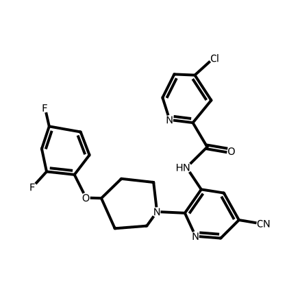 N#Cc1cnc(N2CCC(Oc3ccc(F)cc3F)CC2)c(NC(=O)c2cc(Cl)ccn2)c1